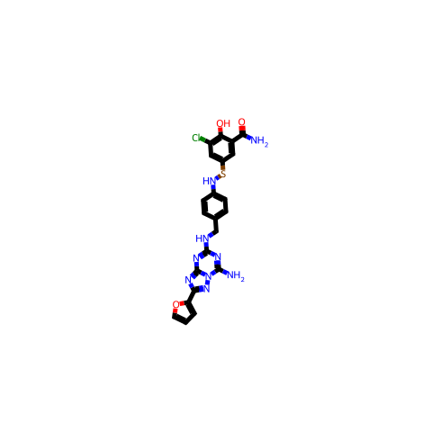 NC(=O)c1cc(SNc2ccc(CNc3nc(N)n4nc(-c5ccco5)nc4n3)cc2)cc(Cl)c1O